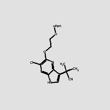 CCCCCOCCOc1nc2c(C(C)(C)C#N)c[nH]c2cc1Cl